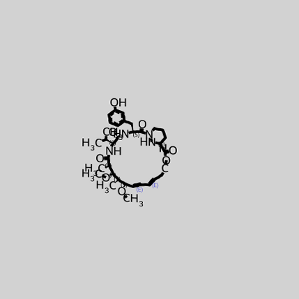 CO[C@@H]1[C@@H](C)[C@@H](OC)/C=C/C=C/CCOC(=O)[C@@H]2CCCN(N2)C(=O)[C@H](Cc2cccc(O)c2)NC(=O)[C@H](C(C)C)NC(=O)[C@@H]1C